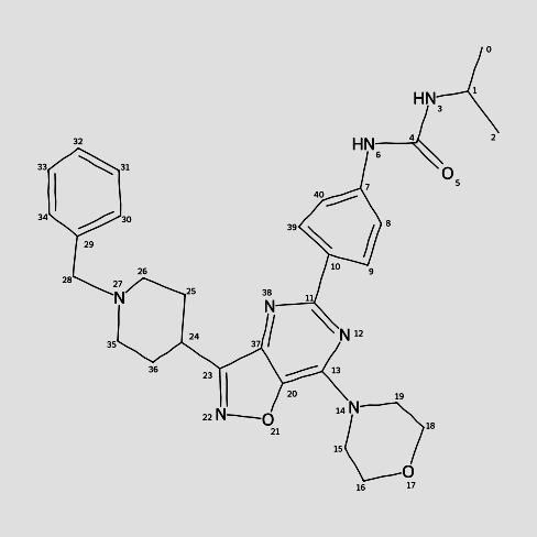 CC(C)NC(=O)Nc1ccc(-c2nc(N3CCOCC3)c3onc(C4CCN(Cc5ccccc5)CC4)c3n2)cc1